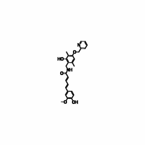 COc1cc(C=CC=CC(=O)NCc2c(C)cc(OCc3ccccn3)c(C)c2O)ccc1O